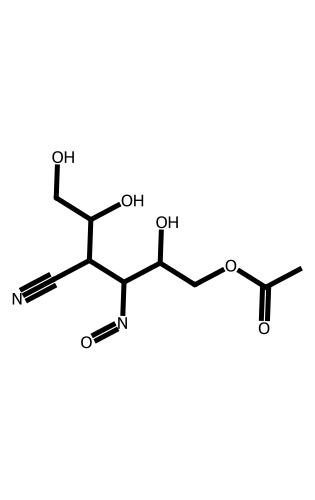 CC(=O)OCC(O)C(N=O)C(C#N)C(O)CO